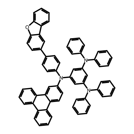 c1ccc(N(c2ccccc2)c2cc(N(c3ccccc3)c3ccccc3)cc(N(c3ccc(-c4ccc5oc6ccccc6c5c4)cc3)c3ccc4c5ccccc5c5ccccc5c4c3)c2)cc1